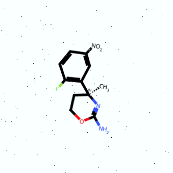 C[C@@]1(c2cc([N+](=O)[O-])ccc2F)CCOC(N)=N1